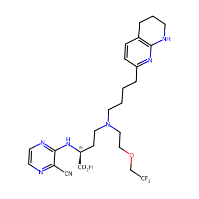 N#Cc1nccnc1N[C@@H](CCN(CCCCc1ccc2c(n1)NCCC2)CCOCC(F)(F)F)C(=O)O